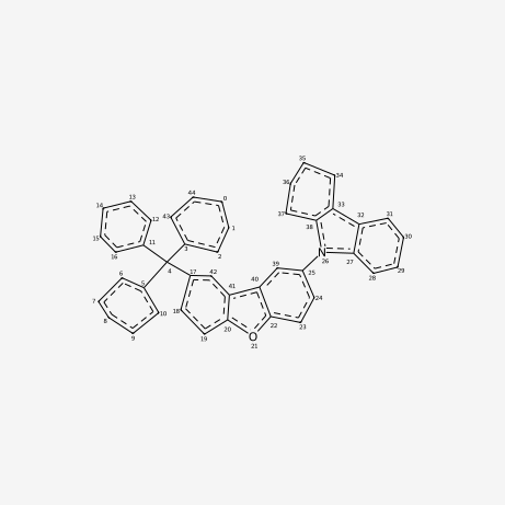 c1ccc(C(c2ccccc2)(c2ccccc2)c2ccc3oc4ccc(-n5c6ccccc6c6ccccc65)cc4c3c2)cc1